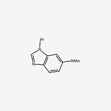 CNc1ccc2ncn(C(C)C)c2c1